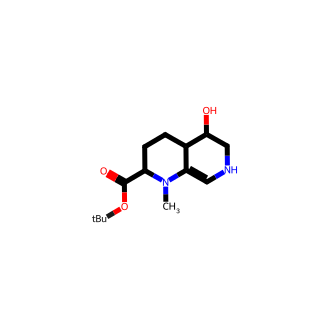 CN1C2=CNCC(O)C2CCC1C(=O)OC(C)(C)C